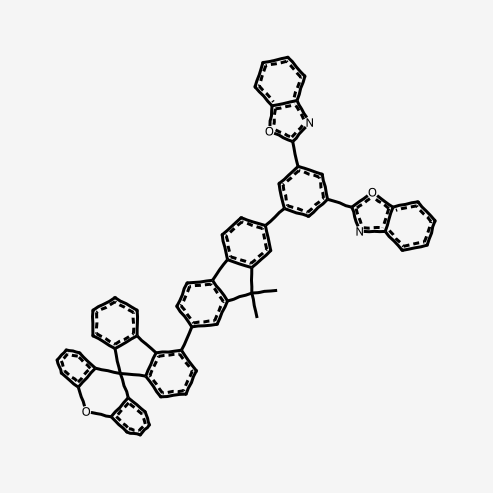 CC1(C)c2cc(-c3cc(-c4nc5ccccc5o4)cc(-c4nc5ccccc5o4)c3)ccc2-c2ccc(-c3cccc4c3-c3ccccc3C43c4ccccc4Oc4ccccc43)cc21